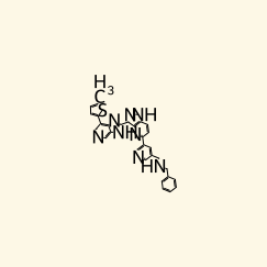 Cc1ccc(-c2cncc3[nH]c(-c4n[nH]c5ccc(-c6cncc(CNCc7ccccc7)c6)nc45)nc23)s1